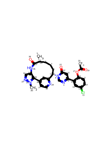 C[C@@H]1CCC[C@H](n2cnc(-c3cc(Cl)ccc3OC(=O)C(F)(F)F)cc2=O)c2cc(ccn2)-c2c(cnn2C)NC1=O